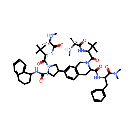 CN[C@@H](C)C(=O)NC(C(=O)N1Cc2cc(C3C[C@@H](C(=O)NC4CCCc5ccccc54)N(C(=O)[C@@H](NC(=O)[C@H](C)NC)C(C)(C)C)C3)ccc2CC1C(=O)NC(Cc1ccccc1)C(=O)N(C)C)C(C)(C)C